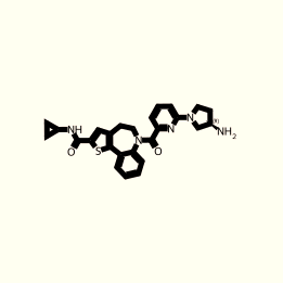 N[C@@H]1CCN(c2cccc(C(=O)N3CCc4cc(C(=O)NC5CC5)sc4-c4ccccc43)n2)C1